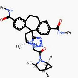 CC(C)NC(=O)c1ccc2c(c1)CCc1cc(C(=O)NC(C)C)ccc1C2(C[C@@H](C)NCC(=O)N1[C@H](C#N)C[C@@H]2C[C@@H]21)c1nnn[nH]1